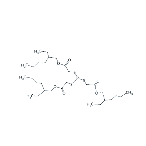 CCCCC(CC)COC(=O)CSP(SCC(=O)OCC(CC)CCCC)SCC(=O)OCC(CC)CCCC